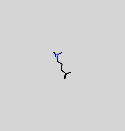 C=C(C)CCCN(C)C